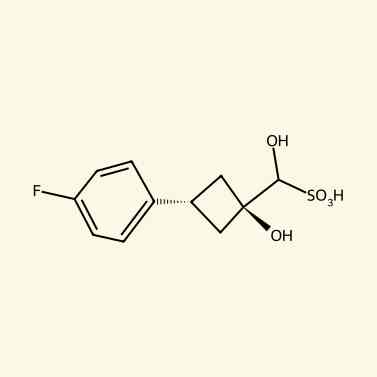 O=S(=O)(O)C(O)[C@]1(O)C[C@H](c2ccc(F)cc2)C1